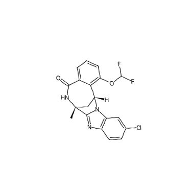 C[C@]12C[C@H](c3c(OC(F)F)cccc3C(=O)N1)n1c2nc2ccc(Cl)cc21